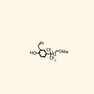 COCOC(c1ccc(O)c(CC(C)C)c1)(C(F)(F)F)C(F)(F)F